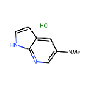 CNc1cnc2[nH]ccc2c1.Cl